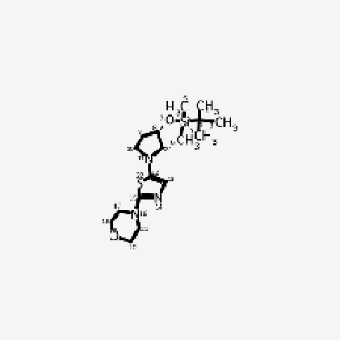 CC(C)(C)[Si](C)(C)O[C@H]1CCN(c2cnc(N3CCOCC3)s2)C1